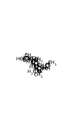 C=C(C)[C@@H]1CC[C@]2(CC(=O)NC3CCC(C)CC3)CC[C@]3(C)[C@H](CC[C@@H]4[C@@]5(C)CC[C@H](OC(=O)CC(C)(C)CC(=O)O)C(C)(C)[C@@H]5CC[C@]43C)[C@@H]12